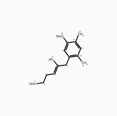 CCC/C(=C\CCC=O)Cc1cc(OC)c(C)cc1C